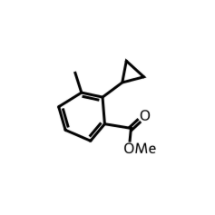 COC(=O)c1cccc(C)c1C1CC1